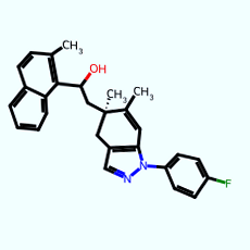 CC1=Cc2c(cnn2-c2ccc(F)cc2)C[C@@]1(C)CC(O)c1c(C)ccc2ccccc12